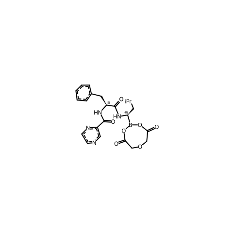 CC(C)C[C@H](NC(=O)[C@H](Cc1ccccc1)NC(=O)c1cnccn1)B1OC(=O)COCC(=O)O1